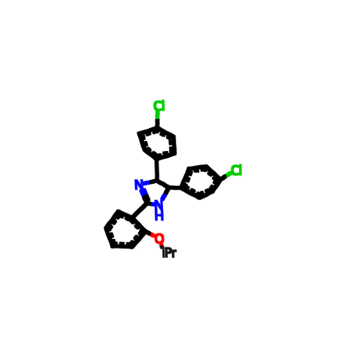 CC(C)Oc1ccccc1C1=NC(c2ccc(Cl)cc2)C(c2ccc(Cl)cc2)N1